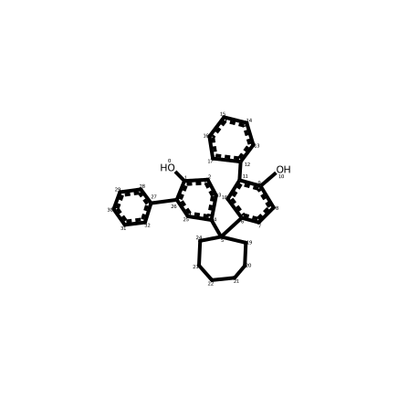 Oc1ccc(C2(c3ccc(O)c(-c4ccccc4)c3)CCCCCC2)cc1-c1ccccc1